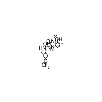 Cc1ccc(-n2nc3c(c2C(=O)NCC2(O)CC2)C(O)N[C@@]2(CCc4cc(OCC(F)(F)F)ccc42)C3)cc1F